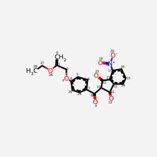 C=C(COc1ccc(C(=O)C2C(=O)c3cccc([N+](=O)[O-])c3C2=O)cc1)OCC